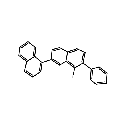 Ic1c(-c2ccccc2)ccc2ccc(-c3cccc4ccccc34)cc12